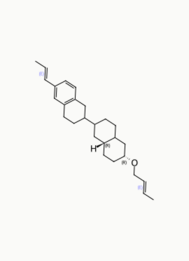 C/C=C/CO[C@@H]1CC[C@@H]2CC(C3CCc4cc(/C=C/C)ccc4C3)CCC2C1